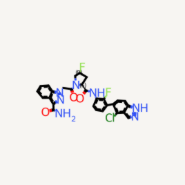 NC(=O)c1nn(CC(=O)N2C[C@H](F)C[C@H]2C(=O)Nc2cccc(-c3ccc4[nH]ncc4c3Cl)c2F)c2ccccc12